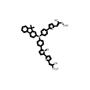 CCn1c(-c2ccc(N(c3ccc(-c4ccc(/C=C(\C#N)OC=O)s4)cc3)c3ccc4c(c3)C(C)(C)c3ccccc3-4)cc2)ccc1-c1ccc(/C=C(\C#N)C(=O)O)s1